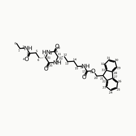 CCNC(=O)CC[C@@H]1NC(=O)[C@H](CCCCNC(=O)OCC2c3ccccc3-c3ccccc32)NC1=O